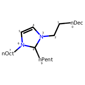 CCCCCCCCCCCCN1C=CN(CCCCCCCC)C1CCCCC